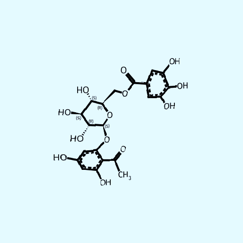 CC(=O)c1c(O)cc(O)cc1O[C@@H]1O[C@H](COC(=O)c2cc(O)c(O)c(O)c2)[C@@H](O)[C@H](O)[C@H]1O